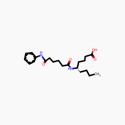 CCCC[C@@H](CCCC(=O)O)NC(=O)CCCCC(=O)Nc1ccccc1